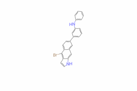 Brc1c2ccc(-c3cccc(Nc4ccccc4)c3)cc2cc2[nH]ccc12